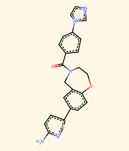 Nc1ccc(-c2ccc3c(c2)CN(C(=O)c2ccc(-n4ccnc4)cc2)CCO3)cn1